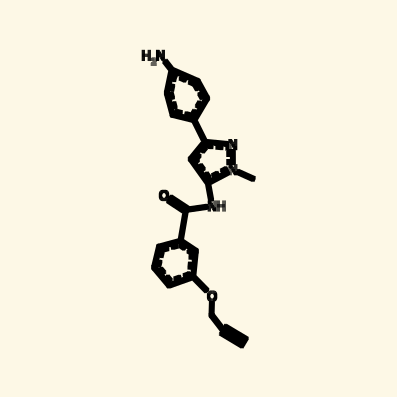 C#CCOc1cccc(C(=O)Nc2cc(-c3ccc(N)cc3)nn2C)c1